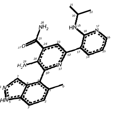 Cc1ccc2[nH]ncc2c1-c1nc(-c2cccnc2NC(C)C)cc(C(N)=O)c1N